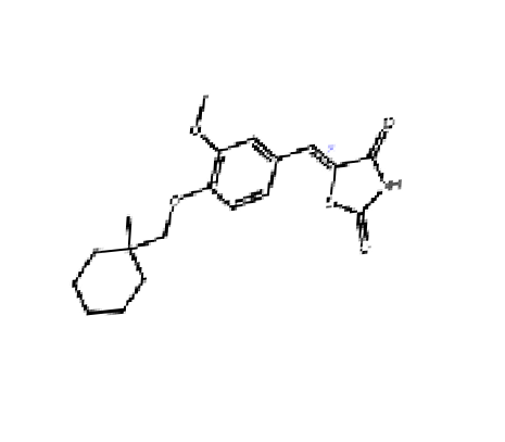 COc1cc(/C=C2\SC(=O)NC2=O)ccc1OCC1(C)CCCCC1